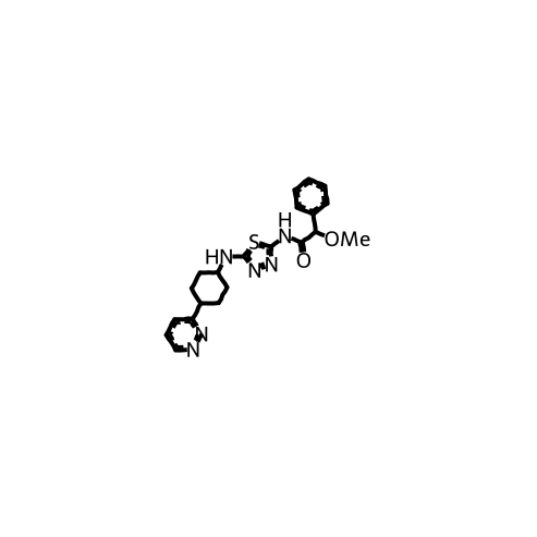 COC(C(=O)Nc1nnc(NC2CCC(c3cccnn3)CC2)s1)c1ccccc1